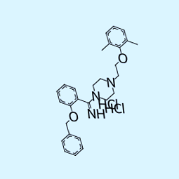 Cc1cccc(C)c1OCCN1CCN(C(=N)c2ccccc2OCc2ccccc2)CC1.Cl.Cl